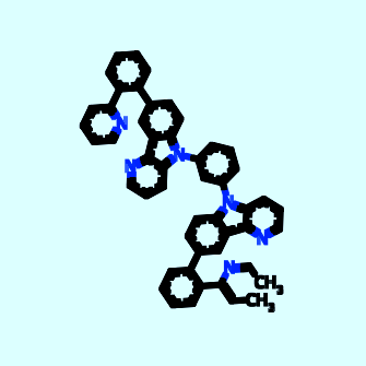 C/C=N\C(=C/C)c1ccccc1-c1ccc2c(c1)c1ncccc1n2-c1cccc(-n2c3ccc(-c4ccccc4-c4ccccn4)cc3c3ncccc32)c1